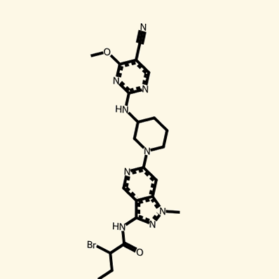 CCC(Br)C(=O)Nc1nn(C)c2cc(N3CCCC(Nc4ncc(C#N)c(OC)n4)C3)ncc12